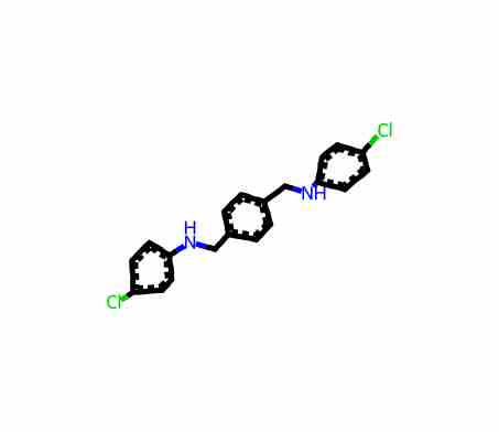 Clc1ccc(NCc2ccc(CNc3ccc(Cl)cc3)cc2)cc1